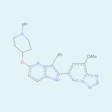 CCCN1CCC(Oc2ccc3[nH]c(-c4cc(OC)c5ncnn5c4)c(C(C)C)c3n2)CC1